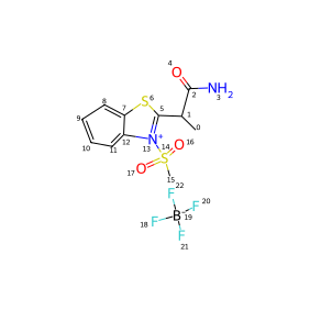 CC(C(N)=O)c1sc2ccccc2[n+]1S(C)(=O)=O.F[B-](F)(F)F